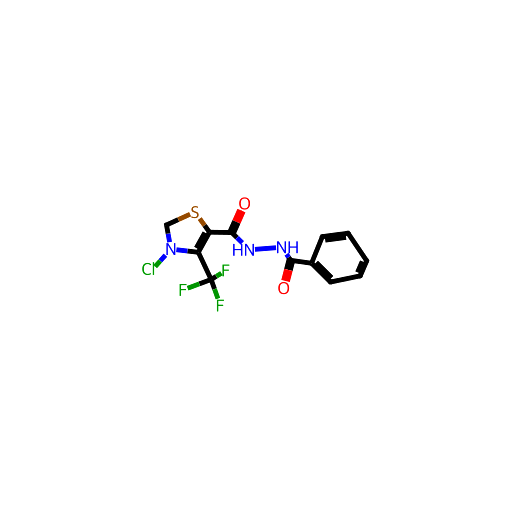 O=C(NNC(=O)c1ccccc1)C1=C(C(F)(F)F)N(Cl)CS1